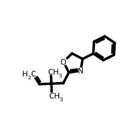 C=CC(C)(C)CC1=NC(c2ccccc2)CO1